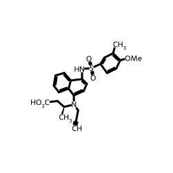 C#CCN(c1ccc(NS(=O)(=O)c2ccc(OC)c(C)c2)c2ccccc12)[C@@H](C)CC(=O)O